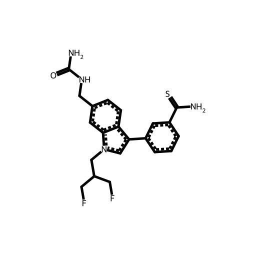 NC(=O)NCc1ccc2c(-c3cccc(C(N)=S)c3)cn(CC(CF)CF)c2c1